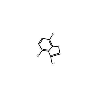 Oc1csc2c(Cl)ccc(Cl)c12